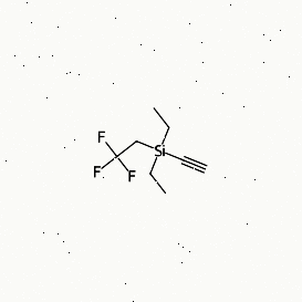 C#C[Si](CC)(CC)CC(F)(F)F